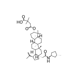 C=C(C)[C@@H]1CC[C@]2(CC(=O)N[C@H]3CC[C@H](C)C3)CC[C@]3(C)[C@H](CC[C@@H]4[C@@]5(C)CC[C@H](OC(=O)CC(C)(C)C(=O)O)C(C)(C)[C@@H]5CC[C@]43C)[C@@H]12